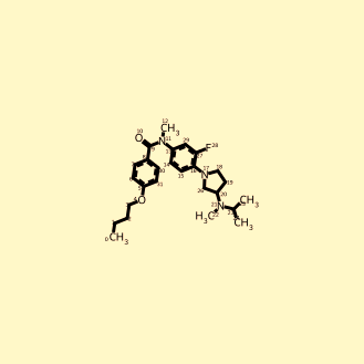 CCCCOc1ccc(C(=O)N(C)c2ccc(N3CCC(N(C)C(C)C)C3)c(F)c2)cc1